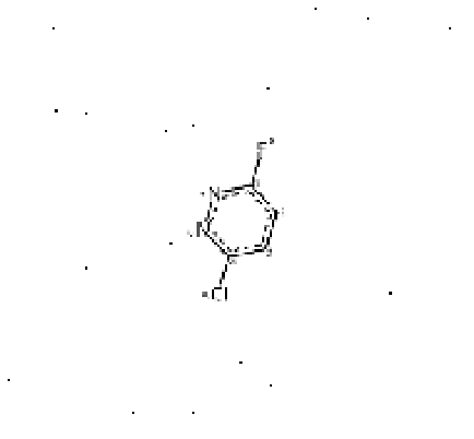 Fc1c[c]c(Cl)nn1